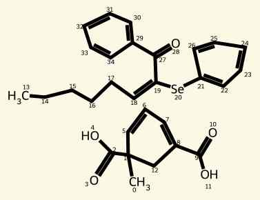 CC1(C(=O)O)C=CC=C(C(=O)O)C1.CCCCCC=C([Se]c1ccccc1)C(=O)c1ccccc1